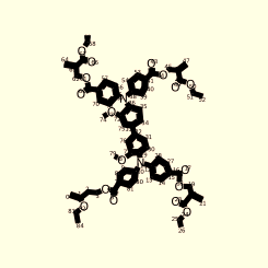 C=C(CCOC(=O)c1ccc(N(c2ccc(C(=O)OCC(=C)C(=O)OCC)cc2)c2ccc(-c3ccc(N(c4ccc(C(=O)OCC(=C)C(=O)OCC)cc4)c4ccc(C(=O)OCC(=C)C(=O)OCC)cc4)c(OC)c3)cc2OC)cc1)OCC